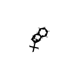 CC(C)(C)c1cc2oc1c1ccccc21